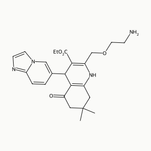 CCOC(=O)C1=C(COCCN)NC2=C(C(=O)CC(C)(C)C2)C1c1ccc2nccn2c1